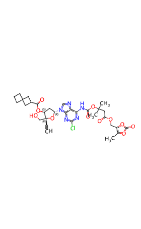 C#C[C@]1(CO)O[C@@H](n2cnc3c(NC(=O)OC(C)(C)CC(=O)OCc4oc(=O)oc4C)nc(Cl)nc32)C[C@@H]1OC(=O)C1CC2(CCC2)C1